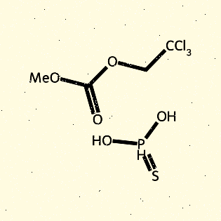 COC(=O)OCC(Cl)(Cl)Cl.O[PH](O)=S